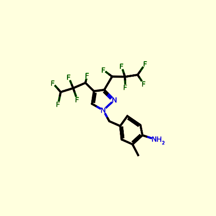 Cc1cc(Cn2cc(C(F)C(F)(F)C(F)F)c(C(F)C(F)(F)C(F)F)n2)ccc1N